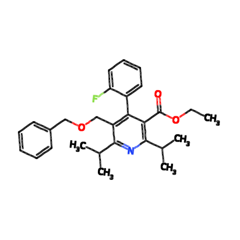 CCOC(=O)c1c(C(C)C)nc(C(C)C)c(COCc2ccccc2)c1-c1ccccc1F